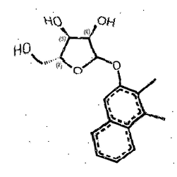 Cc1c(OC2O[C@H](CO)[C@@H](O)[C@H]2O)cc2ccccc2c1C